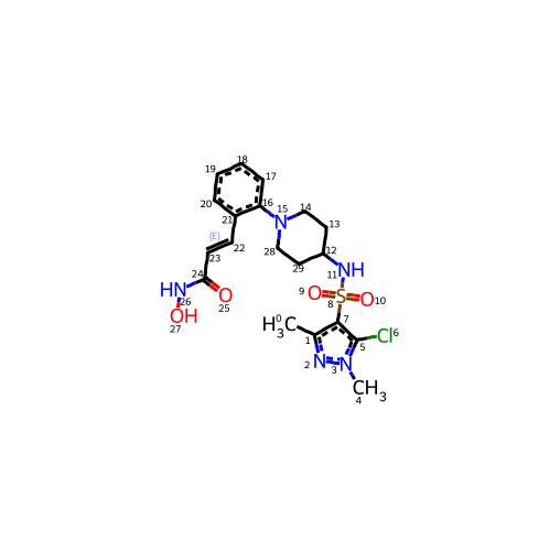 Cc1nn(C)c(Cl)c1S(=O)(=O)NC1CCN(c2ccccc2/C=C/C(=O)NO)CC1